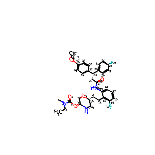 CN(CC(F)(F)F)C(=O)O[C@H]1CO[C@H](CCc2c(F)cccc2NC(=O)C[C@@H](c2ccc(F)cc2)c2ccc(OC(F)(F)F)cc2)CN1